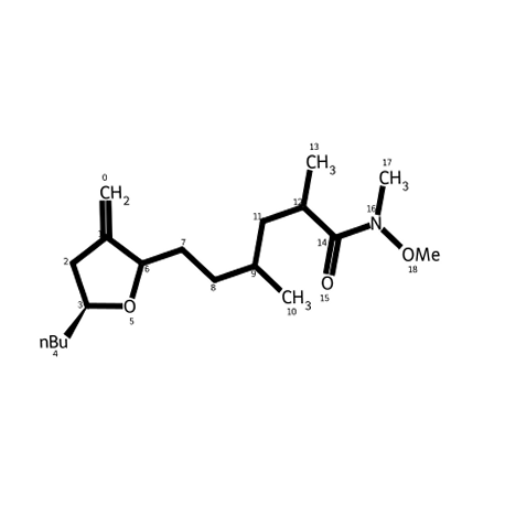 C=C1C[C@H](CCCC)OC1CCC(C)CC(C)C(=O)N(C)OC